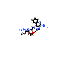 CCOCc1nc2c(N)nc3ccccc3c2n1CCNC(=O)C(N)C(C)C